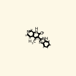 Cc1c(-c2nc3ccccc3[nH]2)c(=O)[nH]c2cnccc12